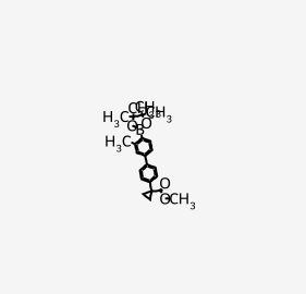 COC(=O)C1(c2ccc(-c3ccc(B4OC(C)(C)C(C)(C)O4)c(C)c3)cc2)CC1